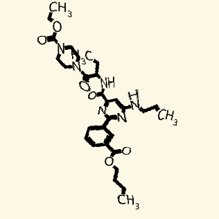 CCCCOC(=O)c1cccc(-c2nc(NCCC)cc(C(=O)NC(CC)C(=O)N3CCN(C(=O)OCC)CC3)n2)c1